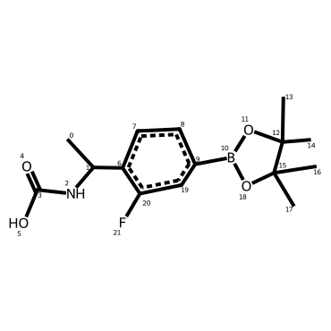 CC(NC(=O)O)c1ccc(B2OC(C)(C)C(C)(C)O2)cc1F